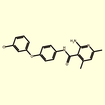 Cc1cc(C)c(C(=O)Nc2ccc(Oc3cccc(Cl)c3)cc2)c(N)n1